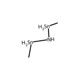 [CH3][SnH2][NH][SnH2][CH3]